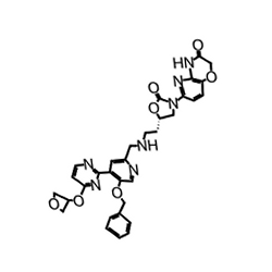 O=C1COc2ccc(N3C[C@H](CCNCc4cc(-c5nccc(OC6COC6)n5)c(OCc5ccccc5)cn4)OC3=O)nc2N1